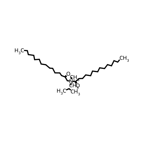 CCC.CCCCCCCCCCCCCC(=O)C[N+](C)(C)C(=O)CCCCCCCCCCCCC